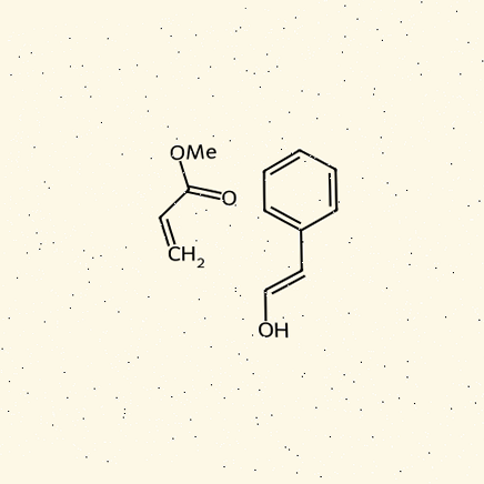 C=CC(=O)OC.OC=Cc1ccccc1